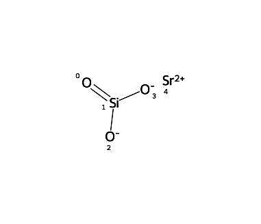 O=[Si]([O-])[O-].[Sr+2]